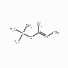 CC(C)(C)/N=C(/O[Si](C)(C)C)C(F)(F)F